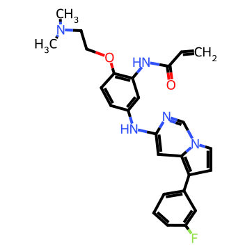 C=CC(=O)Nc1cc(Nc2cc3c(-c4cccc(F)c4)ccn3cn2)ccc1OCCN(C)C